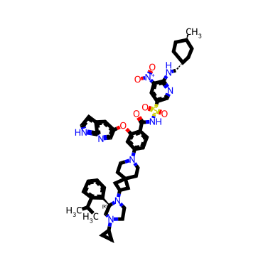 CC(C)c1ccccc1[C@@H]1CN(C2CC2)CCN1C1CC2(CCN(c3ccc(C(=O)NS(=O)(=O)c4cnc(NC[C@H]5CC[C@@H](C)CC5)c([N+](=O)[O-])c4)c(Oc4cnc5[nH]ccc5c4)c3)CC2)C1